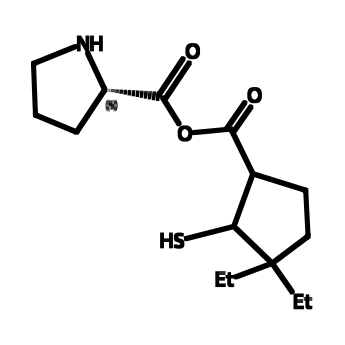 CCC1(CC)CCC(C(=O)OC(=O)[C@@H]2CCCN2)C1S